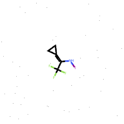 FC(F)(F)C(NI)=C1CC1